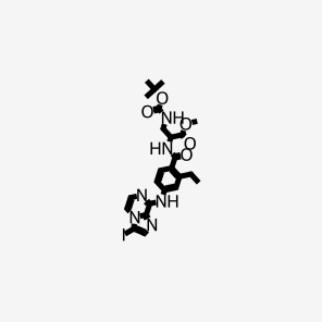 CCc1cc(Nc2nccn3c(I)cnc23)ccc1C(=O)NC(CNC(=O)OC(C)(C)C)C(=O)OC